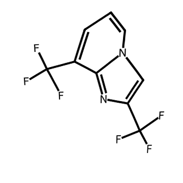 FC(F)(F)c1cn2cccc(C(F)(F)F)c2n1